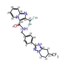 O=C(NCc1ccc(-c2nc3n(n2)CCC(C(F)(F)F)C3)cc1)c1c(C(F)F)nc2ccccn12